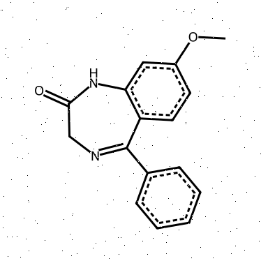 COc1ccc2c(c1)NC(=O)CN=C2c1ccccc1